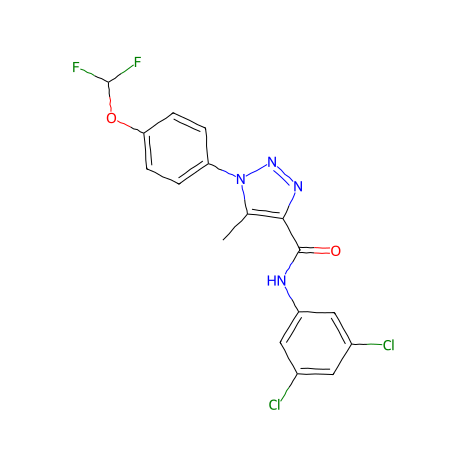 Cc1c(C(=O)Nc2cc(Cl)cc(Cl)c2)nnn1-c1ccc(OC(F)F)cc1